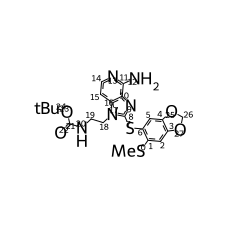 CSc1cc2c(cc1Sc1nc3c(N)nccc3n1CCNC(=O)OC(C)(C)C)OCO2